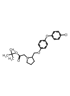 CC(C)(C)OC(=O)CN1CCCC1COc1ccc(Oc2ccc(Cl)cc2)cc1